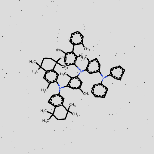 Cc1cc(N(c2ccc3c(c2)C(C)(C)CCC3(C)C)c2cc3c(cc2C)C(C)(C)CCC3(C)C)c(C)c(N(c2cc(N(c3ccccc3)c3ccccc3)ccc2C)c2ccc(C(C)(C)C)c(-c3ccccc3C)c2C)c1